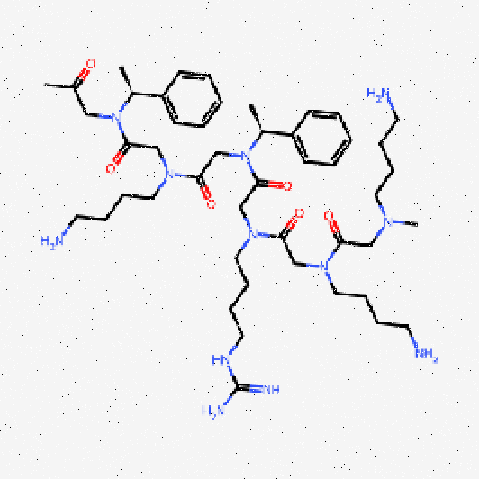 CC(=O)CN(C(=O)CN(CCCCN)C(=O)CN(C(=O)CN(CCCCNC(=N)N)C(=O)CN(CCCCN)C(=O)CN(C)CCCCN)[C@@H](C)c1ccccc1)[C@@H](C)c1ccccc1